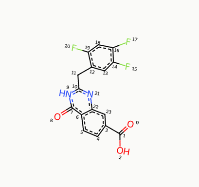 O=C(O)c1ccc2c(=O)[nH]c(Cc3cc(F)c(F)cc3F)nc2c1